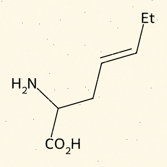 CCC=CCC(N)C(=O)O